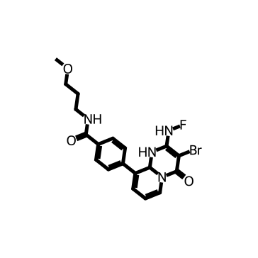 COCCCNC(=O)c1ccc(C2=CC=CN3C(=O)C(Br)=C(NF)NC23)cc1